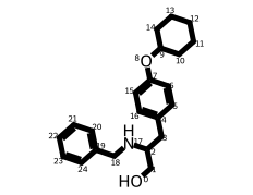 OCC(Cc1ccc(OC2CCCCC2)cc1)NCc1ccccc1